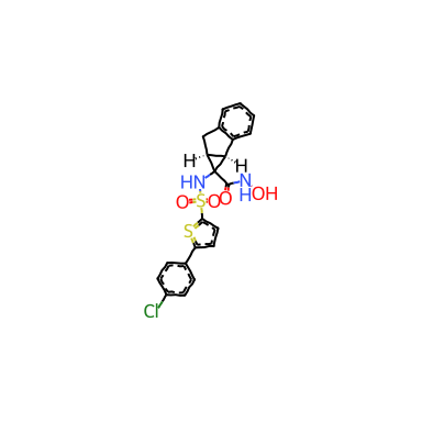 O=C(NO)C1(NS(=O)(=O)c2ccc(-c3ccc(Cl)cc3)s2)[C@@H]2c3ccccc3C[C@@H]21